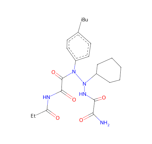 CCC(=O)NC(=O)C(=O)N(c1ccc(C(C)CC)cc1)N(NC(=O)C(N)=O)C1CCCCC1